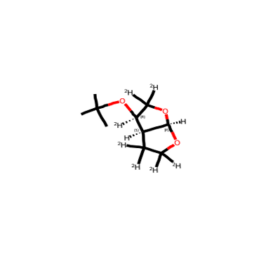 [2H]C1([2H])O[C@@H]2OC([2H])([2H])[C@]([2H])(OC(C)(C)C)[C@@H]2C1([2H])[2H]